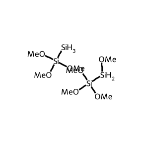 CO[SiH2][Si](OC)(OC)OC.CO[Si]([SiH3])(OC)OC